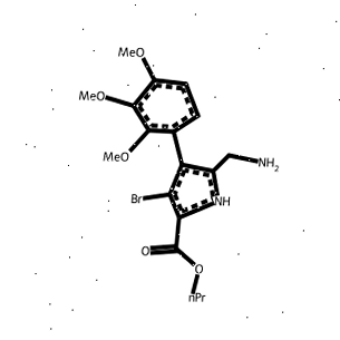 CCCOC(=O)c1[nH]c(CN)c(-c2ccc(OC)c(OC)c2OC)c1Br